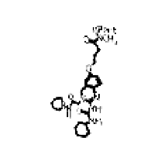 CCCCCN(C)C(=O)CCCOc1ccc2c(c1)CN(CC(=O)NN1CCCCC1)C(NC(=O)NC1CCCCC1)=N2